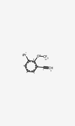 C#Cc1cccc([C](C)C)c1OC(F)(F)F